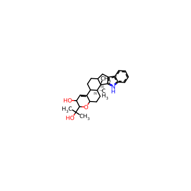 CC(C)(O)C1OC2CC[C@@]3(C)C(CCC4Cc5c([nH]c6ccccc56)[C@@]43C)C2=CC1O